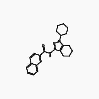 O=C(Nc1nn(C2CCCCC2)c2c1CCCC2)c1ccc2ccccc2c1